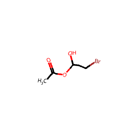 CC(=O)OC(O)CBr